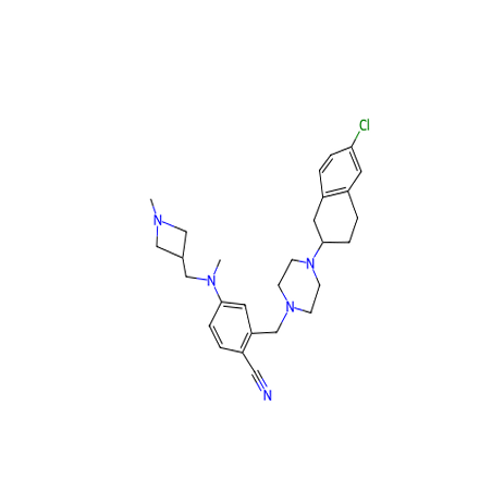 CN1CC(CN(C)c2ccc(C#N)c(CN3CCN(C4CCc5cc(Cl)ccc5C4)CC3)c2)C1